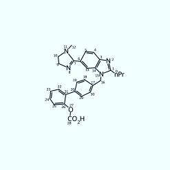 CCCc1nc2ccc(C3=NCCN3C)cc2n1Cc1ccc(-c2ccccc2OC(=O)O)cc1